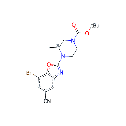 C[C@H]1CN(C(=O)OC(C)(C)C)CCN1c1nc2cc(C#N)cc(Br)c2o1